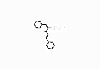 CCCCCC(=Cc1ccccc1)C(=O)/C=C/c1ccccc1